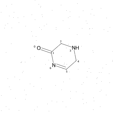 O=C1CNCC=N1